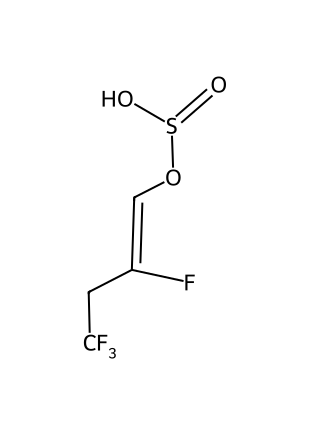 O=S(O)OC=C(F)CC(F)(F)F